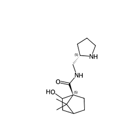 CC1(C)C2CC[C@@]1(C(=O)NC[C@@H]1CCCN1)C(O)C2